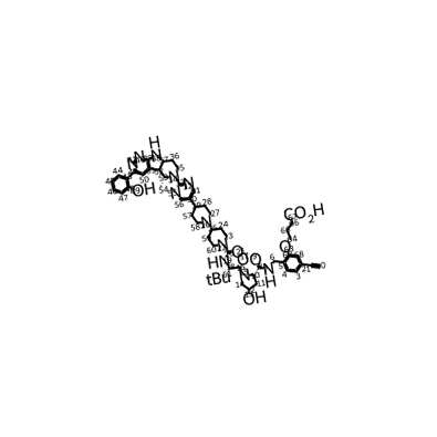 C#Cc1ccc(CNC(=O)[C@@H]2C[C@@H](O)CN2C(=O)[C@@H](NC(=O)N2CCC(N3CCC(c4cnc(N5CCC6Nc7nnc(-c8ccccc8O)cc7C6[C@H]5C)nc4)CC3)CC2)C(C)(C)C)c(OCCCC(=O)O)c1